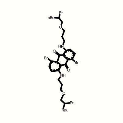 CCCCC(CC)COCCCNc1ccc(Br)c2c1C(=O)c1c(Br)ccc(NCCCOCC(CC)CCCC)c1C2=O